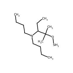 CCCCN(CCCC)C(CC)C(C)(C)O[SiH3]